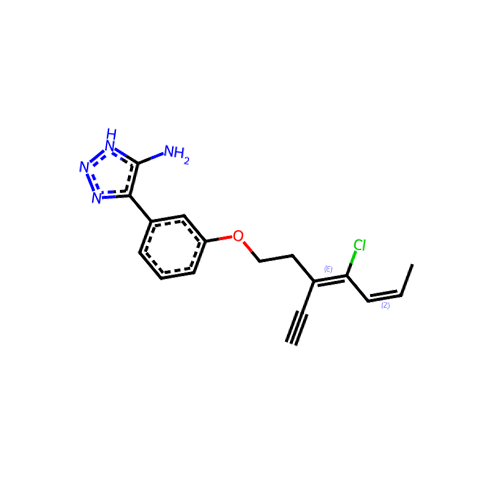 C#C/C(CCOc1cccc(-c2nn[nH]c2N)c1)=C(Cl)\C=C/C